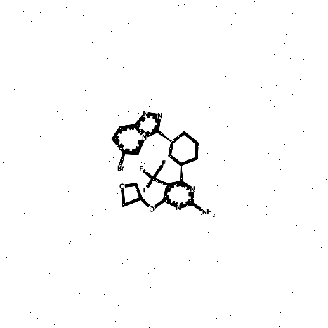 Nc1nc(OC2COC2)c(C(F)(F)F)c([C@@H]2CCC[C@H](c3nnc4ccc(Br)cn34)C2)n1